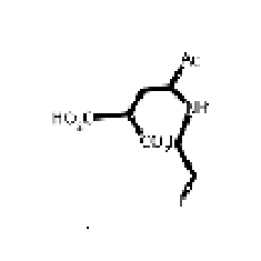 CC(=O)C(CC(C(=O)O)C(=O)O)NCCI